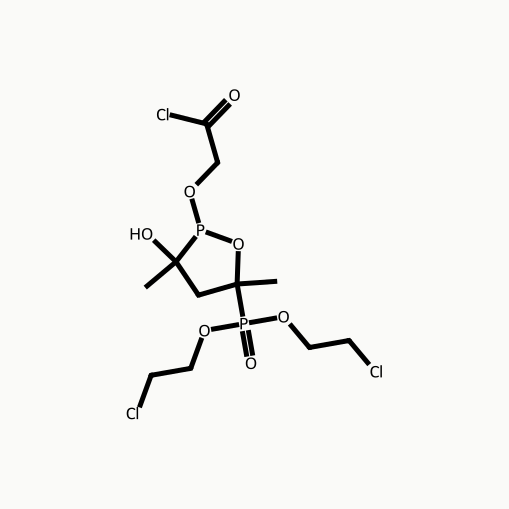 CC1(O)CC(C)(P(=O)(OCCCl)OCCCl)OP1OCC(=O)Cl